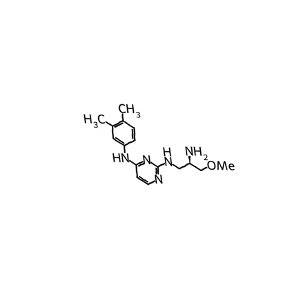 COC[C@H](N)CNc1nccc(Nc2ccc(C)c(C)c2)n1